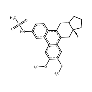 COc1cc2c3c(c4ccc(NS(C)(=O)=O)cc4c2cc1OC)CN1CCC[C@@H]1C3